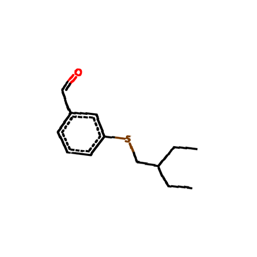 CCC(CC)CSc1cccc(C=O)c1